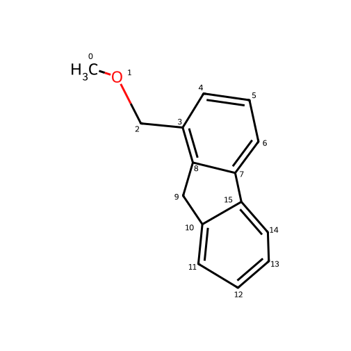 COCc1cccc2c1Cc1ccccc1-2